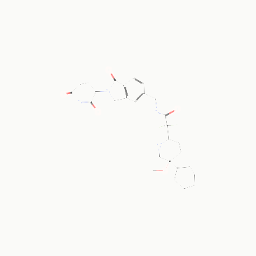 COC1(C2CCCCC2)CCC(C(F)(F)C(=O)NCc2ccc3c(c2)CN(C2CCC(=O)NC2=O)C3=O)NC1